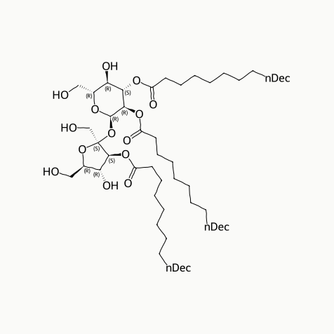 CCCCCCCCCCCCCCCCCC(=O)O[C@H]1[C@@H](O[C@]2(CO)O[C@H](CO)[C@@H](O)[C@@H]2OC(=O)CCCCCCCCCCCCCCCCC)O[C@H](CO)[C@@H](O)[C@@H]1OC(=O)CCCCCCCCCCCCCCCCC